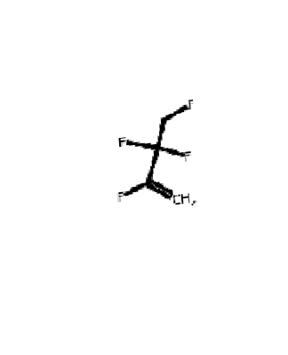 C=C(F)C(F)(F)CF